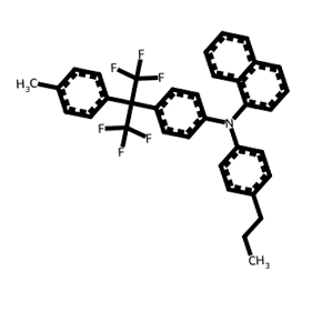 CCCc1ccc(N(c2ccc(C(c3ccc(C)cc3)(C(F)(F)F)C(F)(F)F)cc2)c2cccc3ccccc23)cc1